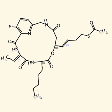 C/C=C1\NC(=O)c2nc(ccc2F)CNC(=O)C[C@@H](/C=C/CCSC(C)=O)OC(=O)[C@H](CCCCC)NC1=O